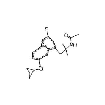 CC(=O)NC(C)(C)Cc1cc(F)cc2ccc(OC3CC3)cc12